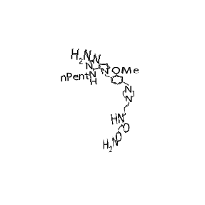 CCCCCNc1nc(N)nc2ccn(Cc3ccc(CN4CCN(CCCNC(=O)CON)CC4)cc3OC)c12